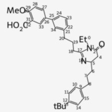 CCN1C(=O)CC(CCCc2ccc(C(C)(C)C)cc2)N=C1CCCc1cccc(-c2ccc(OC)c(C(=O)O)c2)c1